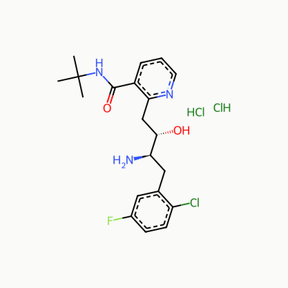 CC(C)(C)NC(=O)c1cccnc1C[C@H](O)[C@H](N)Cc1cc(F)ccc1Cl.Cl.Cl